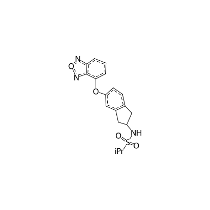 CC(C)S(=O)(=O)NC1Cc2ccc(Oc3cccc4nonc34)cc2C1